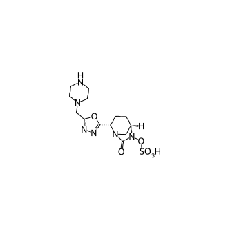 O=C1N2C[C@H](CC[C@H]2c2nnc(CN3CCNCC3)o2)N1OS(=O)(=O)O